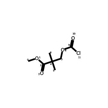 COC(=O)C(C)(C)COC(=O)Cl